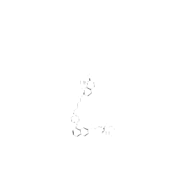 CN(C)CCOc1ccc2cccc(N3CCN(CCCCOc4ccc5c(n4)NC(=O)CC5)CC3)c2c1